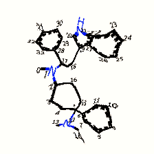 CN(C1CCC(c2ccccc2)(N(C)C)CC1)C(Cc1c[nH]c2ccccc12)c1ccccc1